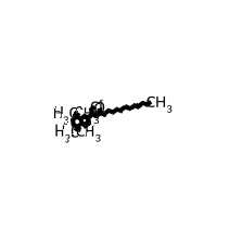 CCCCCCCCCCCCC(=O)C=C(CCl)c1ccc2c(c1)C(C)(C)CCC2(C)C